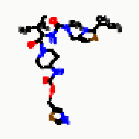 CC(C)c1nc(CN(C)C(=O)NC(C(=O)N2CCC(NC(=O)OCc3cncs3)CC2)C(C)C)cs1